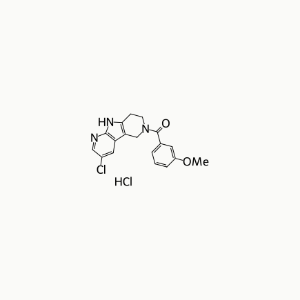 COc1cccc(C(=O)N2CCc3[nH]c4ncc(Cl)cc4c3C2)c1.Cl